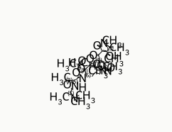 CC(=O)O[C@@H]([C@H](CCCN(O)N=O)NC(=O)[C@H]1N=C([C@H](C)N(C)C)O[C@@H]1C)C(C)(C)C(=O)O[C@H](C(=O)C1=C(O)[C@H](C)N(C)C1=O)C(C)C